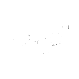 CC(C)(C)OC(=O)N1CCCc2ccc(C#N)cc2C1